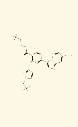 CC(F)(F)Cn1ccc(Nc2cc(-c3cnc4cc(C#N)cnn34)ncc2C(=O)NC[C@@H](F)C(C)(C)O)n1